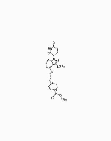 Cc1nn(C2CCC(=O)NC2=O)c2cccc(OCCCN3CCN(C(=O)OC(C)(C)C)CC3)c12